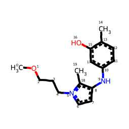 COCCCn1ccc(Nc2ccc(C)c(O)c2)c1C